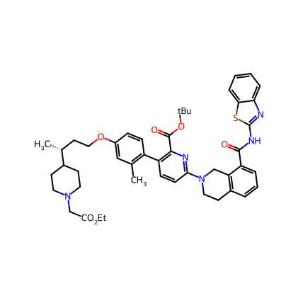 CCOC(=O)CN1CCC([C@H](C)CCOc2ccc(-c3ccc(N4CCc5cccc(C(=O)Nc6nc7ccccc7s6)c5C4)nc3C(=O)OC(C)(C)C)c(C)c2)CC1